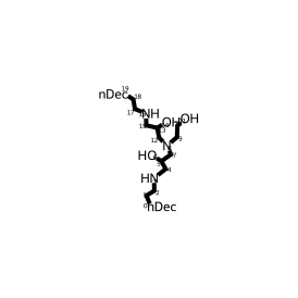 CCCCCCCCCCCCNCC(O)CN(CCO)CC(O)CNCCCCCCCCCCCC